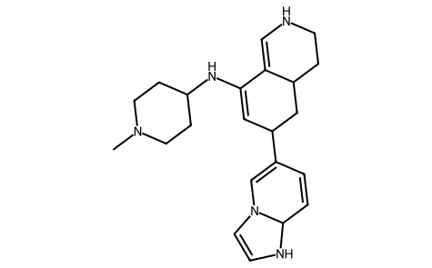 CN1CCC(NC2=CC(C3=CN4C=CNC4C=C3)CC3CCNC=C23)CC1